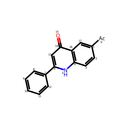 CC(=O)c1ccc2[nH]c(-c3ccccc3)cc(=O)c2c1